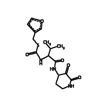 CC(C)C(NC(=O)SCc1ccoc1)C(=O)NC1CCNC(=O)C1=O